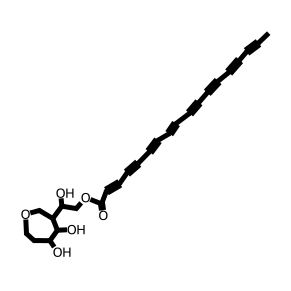 CC#CC#CC#CC#CC#CC#CC#CC#CC(=O)OCC(O)C1COCCC(O)C1O